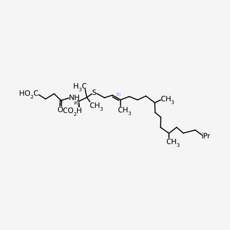 C/C(=C\CSC(C)(C)[C@H](NC(=O)CCC(=O)O)C(=O)O)CCCC(C)CCCC(C)CCCC(C)C